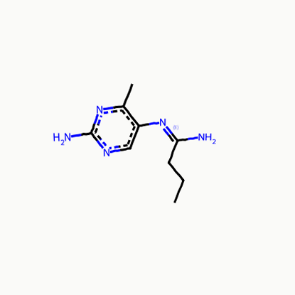 CCC/C(N)=N\c1cnc(N)nc1C